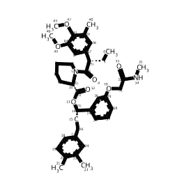 CC[C@H](C(=O)N1CCCC[C@H]1C(=O)O[C@@H](CCc1ccc(C)c(C)c1)c1cccc(OCC(=O)NC)c1)c1cc(C)c(OC)c(OC)c1